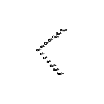 [Ba+2].[Ba+2].[Cu+2].[Cu+2].[O-2].[O-2].[O-2].[O-2].[O-2].[O-2].[O-2].[Pm+3].[Pm+3]